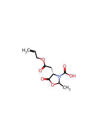 C=CCOC(=O)C[C@H]1C(=O)OC(C)N1C(=O)O